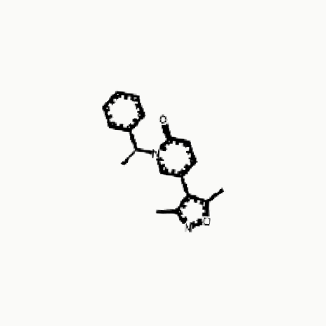 Cc1noc(C)c1-c1ccc(=O)n([C@@H](C)c2ccccc2)c1